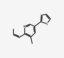 C/C=C\c1ncc(-c2cccs2)cc1C